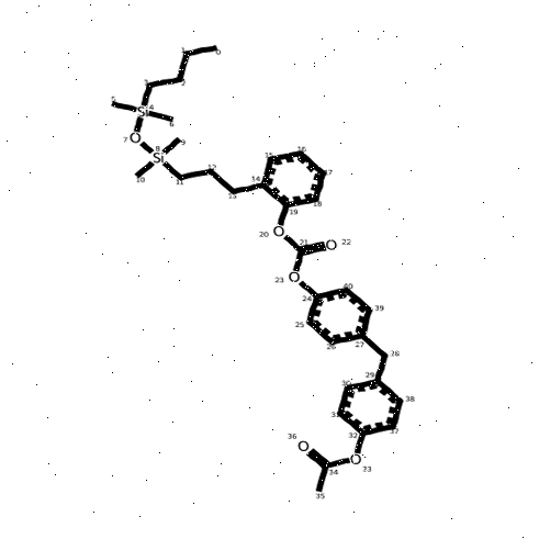 CCCC[Si](C)(C)O[Si](C)(C)CCCc1ccccc1OC(=O)Oc1ccc(Cc2ccc(OC(C)=O)cc2)cc1